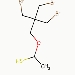 CC(S)OCC(CBr)(CBr)CBr